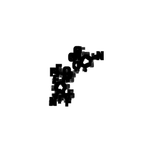 N#Cc1ccc(OC[C@@H]2CN(c3ccc(C#N)c(C(F)(F)F)c3)[C@@H](C(F)(F)F)O2)c([N+](=O)[O-])c1